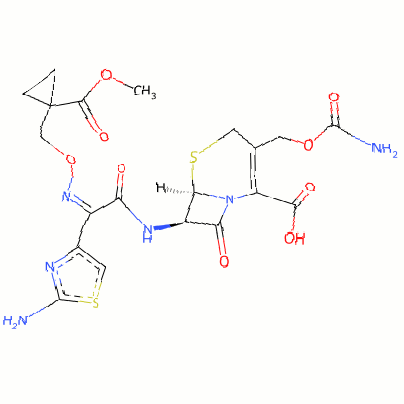 COC(=O)C1(CO/N=C(\C(=O)N[C@@H]2C(=O)N3C(C(=O)O)=C(COC(N)=O)CS[C@H]23)c2csc(N)n2)CC1